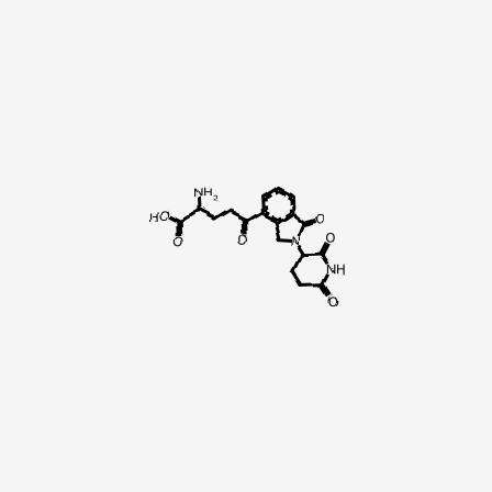 NC(CCC(=O)c1cccc2c1CN(C1CCC(=O)NC1=O)C2=O)C(=O)O